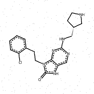 O=c1[nH]c2cnc(NC[C@@H]3CCNC3)nc2n1CCc1ccccc1Cl